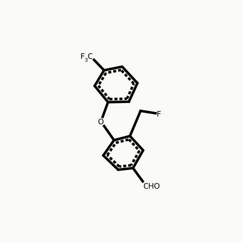 O=Cc1ccc(Oc2cccc(C(F)(F)F)c2)c(CF)c1